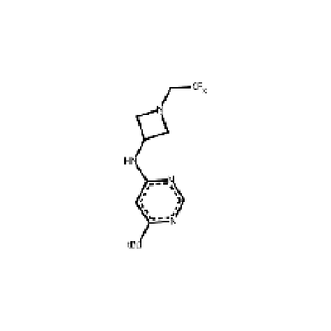 CC(C)(C)c1cc(NC2CN(CC(F)(F)F)C2)ncn1